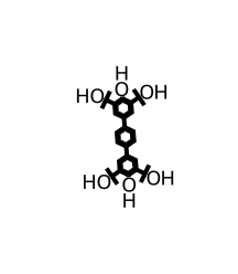 CC(C)(O)c1cc(-c2ccc(-c3cc(C(C)(C)O)c(O)c(C(C)(C)O)c3)cc2)cc(C(C)(C)O)c1O